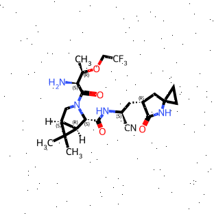 C[C@@H](OCC(F)(F)F)[C@H](N)C(=O)N1C[C@H]2[C@@H]([C@H]1C(=O)N[C@H](C#N)C[C@@H]1CC3(CC3)NC1=O)C2(C)C